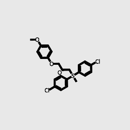 COc1ccc(OCC(=O)CS(C)(c2ccc(Cl)cc2)c2ccc(Cl)cc2)cc1